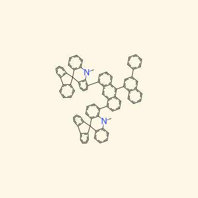 CN1c2ccccc2C2(c3ccccc3-c3ccccc32)c2cccc(-c3cccc4c(-c5cc(-c6ccccc6)cc6ccccc56)c5cccc(-c6cccc7c6N(C)c6ccccc6C76c7ccccc7-c7ccccc76)c5cc34)c21